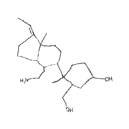 CC=C1CCC2C(CN)C(C3(C)CCC(O)CC3CO)CCC12C